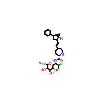 CSC1O[C@H]([C@H](NC(=O)[C@@H]2CC=C(/C=C/C3CC(c4ccccc4)C4C[C@@H]34)CCN2)[C@H](C)Cl)C(O)C(O)[C@H]1O